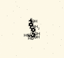 Nc1ccc([C@@H]2O[C@H](CO)[C@@H](O)[C@H](O)[C@H]2O)cc1Cc1ccc(C2(O)CC2)cc1